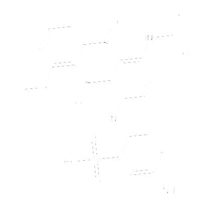 COc1cccc2c1C(=O)c1c(Nc3ccc(N)cc3S(=O)(=O)O)ccc(NC(C)C)c1C2=O